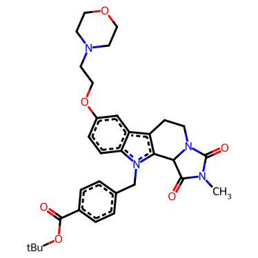 CN1C(=O)C2c3c(c4cc(OCCN5CCOCC5)ccc4n3Cc3ccc(C(=O)OC(C)(C)C)cc3)CCN2C1=O